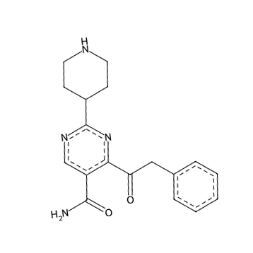 NC(=O)c1cnc(C2CCNCC2)nc1C(=O)Cc1ccccc1